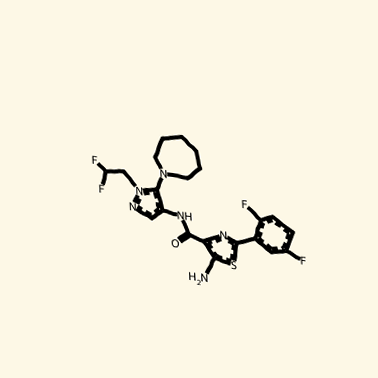 Nc1sc(-c2cc(F)ccc2F)nc1C(=O)Nc1cnn(CC(F)F)c1N1CCCCCC1